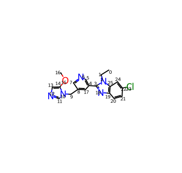 CCn1c(-c2cncc(Cn3cncc3OC)c2)nc2ccc(Cl)cc21